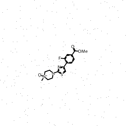 COC(=O)c1ccc(-c2csc(N3CC[N+](C)([O-])CC3)n2)c(F)c1